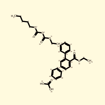 CCCCCOC(=O)OC(=O)OCC.CCOC(=O)c1ccccc1-c1ccccc1.O=C(O)O.c1ccccc1